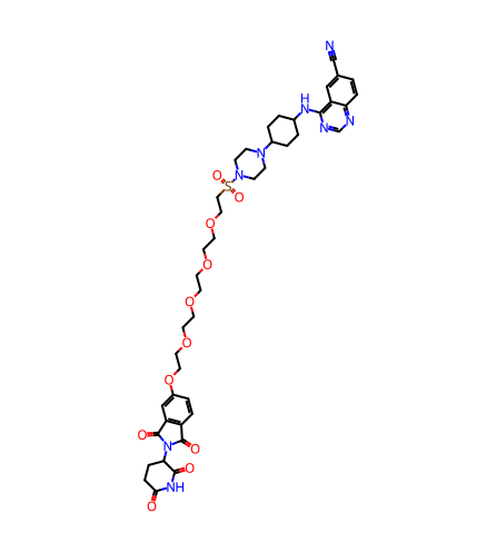 N#Cc1ccc2ncnc(NC3CCC(N4CCN(S(=O)(=O)CCOCCOCCOCCOCCOc5ccc6c(c5)C(=O)N(C5CCC(=O)NC5=O)C6=O)CC4)CC3)c2c1